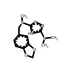 CN(C)c1nnc(N(C)Cc2ccc3c(c2)OCO3)[nH]1